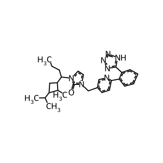 CCCC(C1CC(C(C)C)C1C)n1ccn(Cc2ccc(-c3ccccc3-c3nnn[nH]3)nc2)c1=O